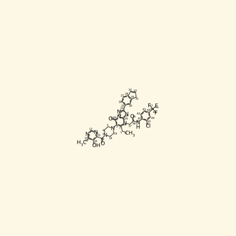 CCc1c(N2CCN(C(=O)c3ncnc(C)c3O)CC2)c(=O)n2nc(-c3ccc4c(c3)CC=C4)nc2n1CC(=O)Nc1ccc(C(F)(F)F)cc1Cl